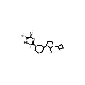 N#CC1=C(Cl)N=C(N2CCCC(N3CCN(C4COC4)C3=O)C2)NN1